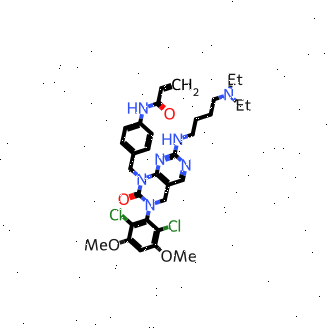 C=CC(=O)Nc1ccc(CN2C(=O)N(c3c(Cl)c(OC)cc(OC)c3Cl)Cc3cnc(NCCCCN(CC)CC)nc32)cc1